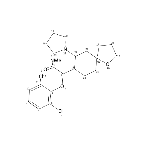 CNC(=O)C(Oc1c(Cl)cccc1Cl)C1CCC2(CCCO2)CC1N1CCCC1